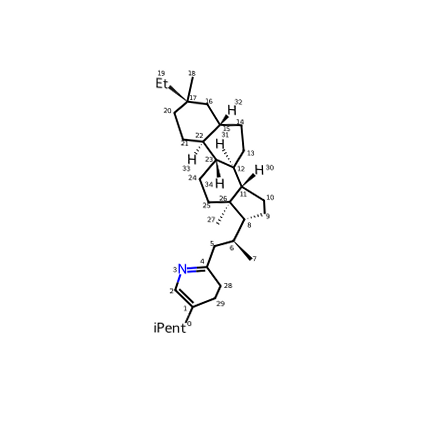 CCCC(C)C1=CN=C(C[C@H](C)[C@H]2CC[C@H]3[C@@H]4CC[C@H]5C[C@](C)(CC)CC[C@@H]5[C@H]4CC[C@]23C)CC1